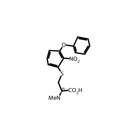 CN[C@@H](CSc1cccc(Oc2ccccc2)c1[N+](=O)[O-])C(=O)O